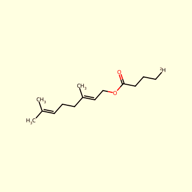 [2H]CCCC(=O)OC/C=C(\C)CCC=C(C)C